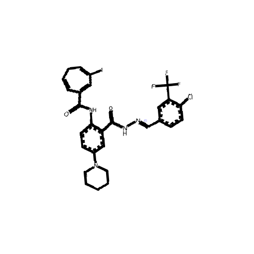 O=C(Nc1ccc(N2CCCCC2)cc1C(=O)N/N=C/c1ccc(Cl)c(C(F)(F)F)c1)C1=CC(I)=CCC=C1